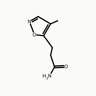 Cc1cnoc1CCC(N)=O